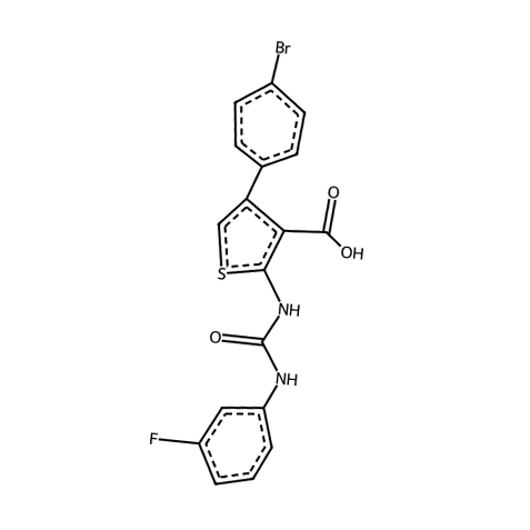 O=C(Nc1cccc(F)c1)Nc1scc(-c2ccc(Br)cc2)c1C(=O)O